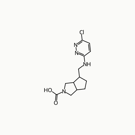 O=C(O)N1CC2CCC(CNc3ccc(Cl)nn3)C2C1